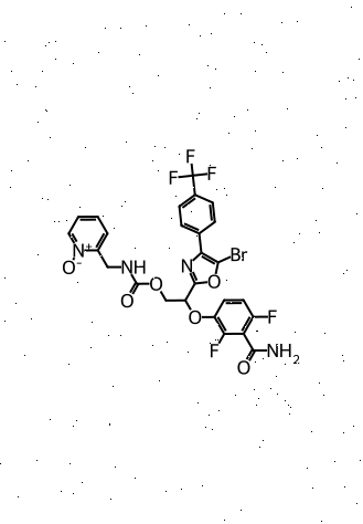 NC(=O)c1c(F)ccc(OC(COC(=O)NCc2cccc[n+]2[O-])c2nc(-c3ccc(C(F)(F)F)cc3)c(Br)o2)c1F